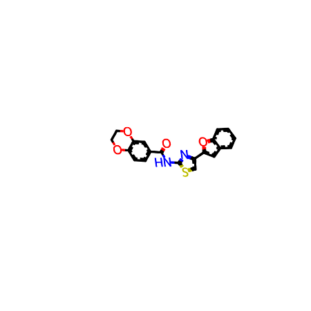 O=C(Nc1nc(-c2cc3ccccc3o2)cs1)c1ccc2c(c1)OCCO2